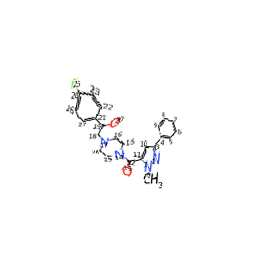 Cn1nc(-c2ccccc2)cc1C(=O)N1CCN(CC(=O)c2ccc(F)cc2)CC1